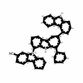 N#Cc1ccc2c3ccccc3n(-c3cccc4c3sc3c(-c5ccccc5)cc(-c5cccc6sc7ccccc7c56)cc34)c2c1